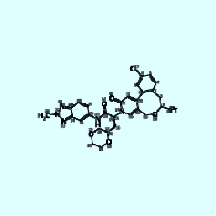 CC(C)C1Cc2ccc(Cl)cc2-c2cc(=O)n([C@@H](C[C@@H]3COCCO3)C(=O)Nc3ccc4nn(C)nc4c3)cc2CO1